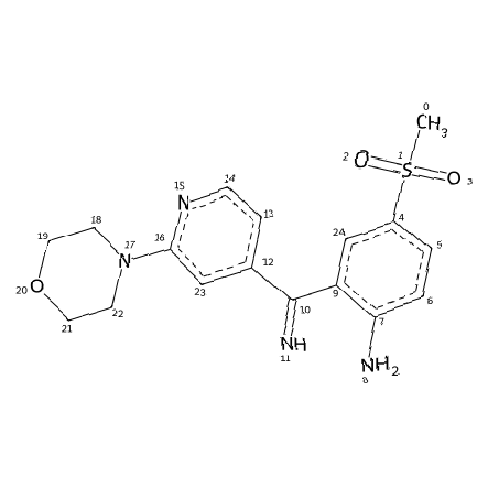 CS(=O)(=O)c1ccc(N)c(C(=N)c2ccnc(N3CCOCC3)c2)c1